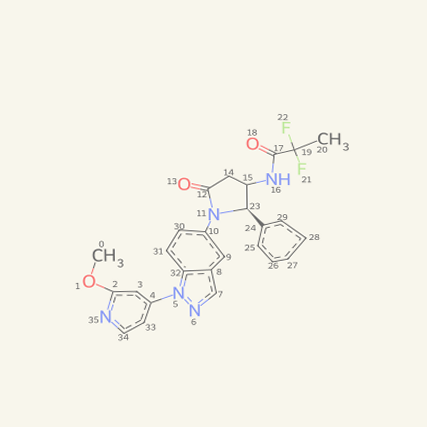 COc1cc(-n2ncc3cc(N4C(=O)CC(NC(=O)C(C)(F)F)[C@H]4c4ccccc4)ccc32)ccn1